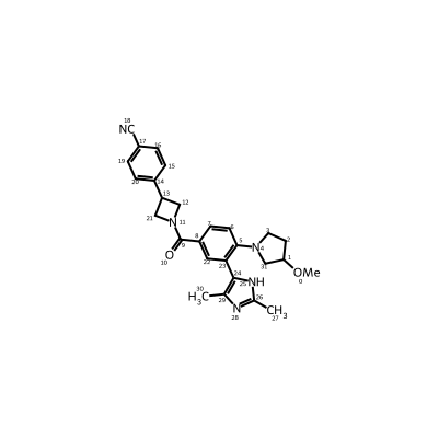 COC1CCN(c2ccc(C(=O)N3CC(c4ccc(C#N)cc4)C3)cc2-c2[nH]c(C)nc2C)C1